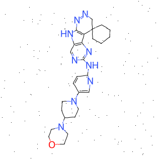 c1cc(Nc2ncc3[nH]c4c(c3n2)C2(CCCCC2)CN=N4)ncc1N1CCC(N2CCOCC2)CC1